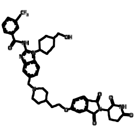 O=C1CCC(N2C(=O)c3ccc(OCCC4CCN(Cc5ccc6c(c5)nc(NC(=O)c5cccc(C(F)(F)F)c5)n6C5CCC(CO)CC5)CC4)cc3C2=O)C(=O)N1